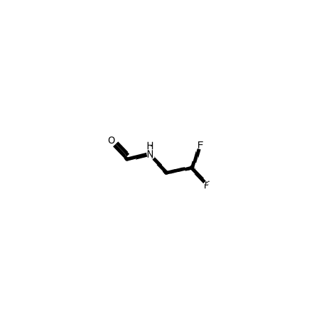 O=CNCC(F)F